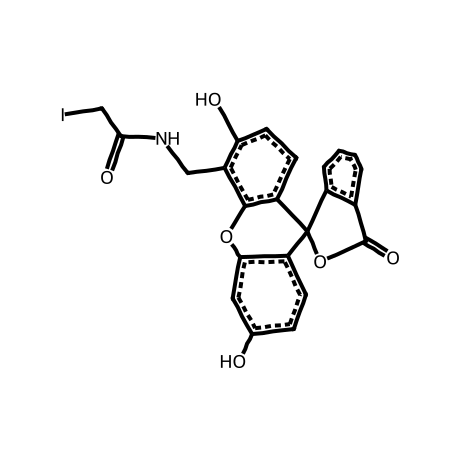 O=C(CI)NCc1c(O)ccc2c1Oc1cc(O)ccc1C21OC(=O)c2ccccc21